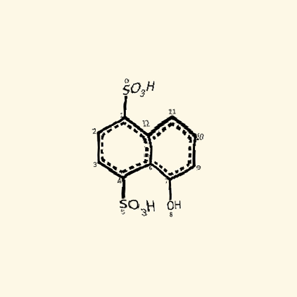 O=S(=O)(O)c1ccc(S(=O)(=O)O)c2c(O)cccc12